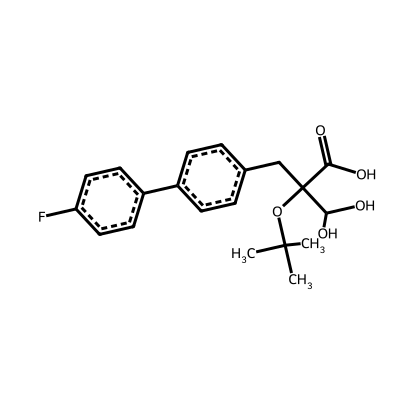 CC(C)(C)OC(Cc1ccc(-c2ccc(F)cc2)cc1)(C(=O)O)C(O)O